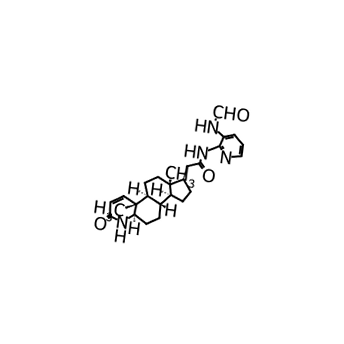 C[C@]12C=CC(=O)N[C@@H]1CC[C@@H]1[C@@H]2CC[C@]2(C)[C@@H](CC(=O)Nc3ncccc3NC=O)CC[C@@H]12